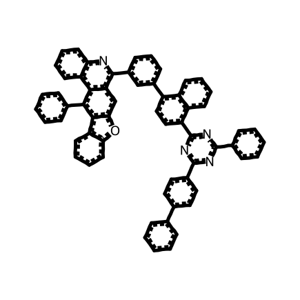 c1ccc(-c2ccc(-c3nc(-c4ccccc4)nc(-c4ccc(-c5cccc(-c6nc7ccccc7c7c(-c8ccccc8)c8c(cc67)oc6ccccc68)c5)c5ccccc45)n3)cc2)cc1